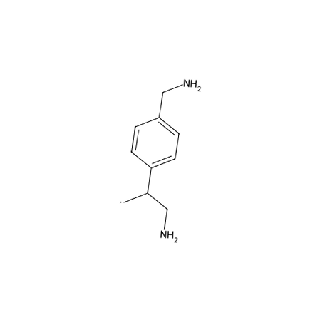 [CH2]C(CN)c1ccc(CN)cc1